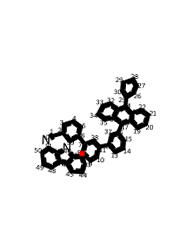 N#Cc1cccc(-c2cccc(-c3cccc(-c4c5ccccc5c(-c5ccccc5)c5ccccc45)c3)c2)c1-n1c2ccccc2c2ccccc21